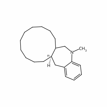 CN1CC2CCCCCCCCCC[C@@H]2Cc2ccccc21